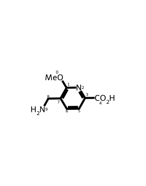 COc1nc(C(=O)O)ccc1CN